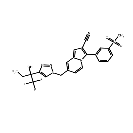 CCC(O)(c1cn(Cc2ccn3c(-c4cccc(S(C)(=O)=O)c4)c(C#N)cc3c2)nn1)C(F)(F)F